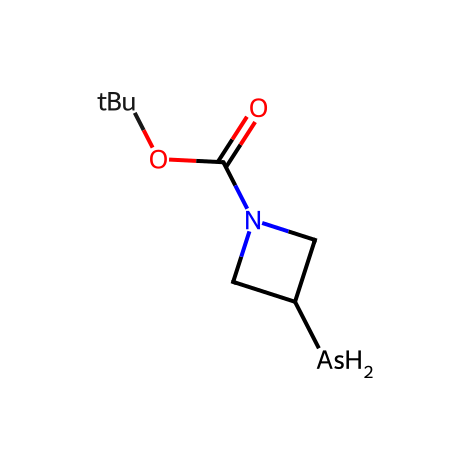 CC(C)(C)OC(=O)N1CC([AsH2])C1